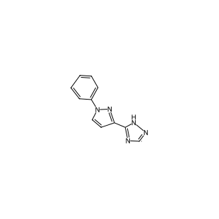 [c]1n[nH]c(-c2ccn(-c3ccccc3)n2)n1